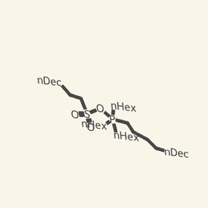 CCCCCCCCCCCCCCP(CCCCCC)(CCCCCC)(CCCCCC)OS(=O)(=O)CCCCCCCCCCCC